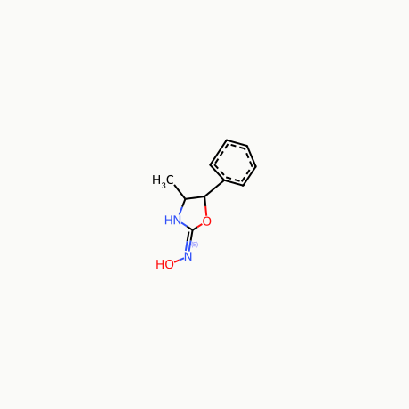 CC1N/C(=N\O)OC1c1ccccc1